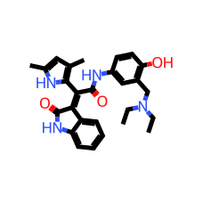 CCN(CC)Cc1cc(NC(=O)C(=C2C(=O)Nc3ccccc32)c2[nH]c(C)cc2C)ccc1O